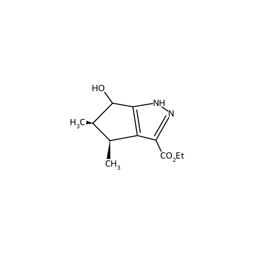 CCOC(=O)c1n[nH]c2c1[C@@H](C)[C@@H](C)C2O